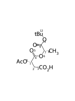 CC(=O)O[C@@H](CC(=O)O)C(=O)O[C@@H](C)C(=O)OC(C)(C)C